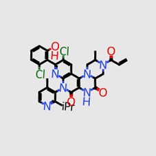 C=CC(=O)N1CC2C(=O)Nc3c(c4cc(Cl)c(-c5c(O)cccc5Cl)nc4n(-c4c(C)ccnc4C(C)C)c3=O)N2CC1C